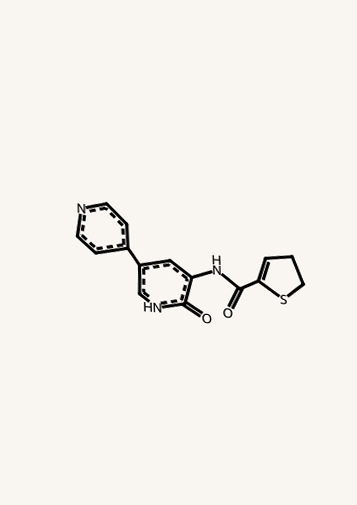 O=C(Nc1cc(-c2ccncc2)c[nH]c1=O)C1=CCCS1